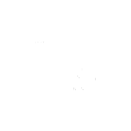 CCCCCCCCCCCCCCCc1nnc(S)n1C